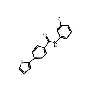 O=C(Nc1cccc(Cl)c1)c1ccc(-c2cccs2)cc1